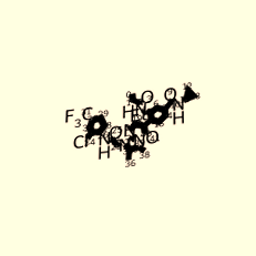 C=CC(=O)Nc1cc(C(=O)NC2CC2)ccc1-c1c(CC)nc2n(CC(=O)Nc3ccc(C(F)(F)F)cc3Cl)c(C)c(C)n2c1=O